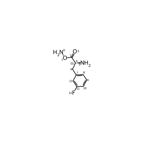 NOC(=O)[C@@H](N)Cc1cccc(F)c1